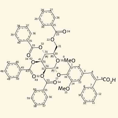 COc1cc(C=C(C(=O)O)c2ccccc2)cc(OC)c1O[C@H]1O[C@H](COC(=O)c2ccccc2)[C@@H](OC(=O)c2ccccc2)[C@H](OC(=O)c2ccccc2)[C@@H]1OC(=O)c1ccccc1